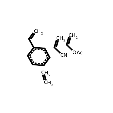 C=C.C=CC#N.C=COC(C)=O.C=Cc1ccccc1